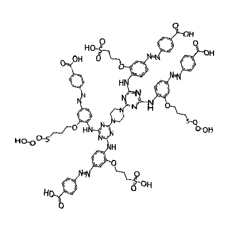 O=C(O)c1ccc(N=Nc2ccc(Nc3nc(Nc4ccc(N=Nc5ccc(C(=O)O)cc5)cc4OCCCS(=O)(=O)O)nc(N4CCN(c5nc(Nc6ccc(N=Nc7ccc(C(=O)O)cc7)cc6OCCCSOOO)nc(Nc6ccc(N=Nc7ccc(C(=O)O)cc7)cc6OCCCS(=O)(=O)O)n5)CC4)n3)c(OCCCSOOO)c2)cc1